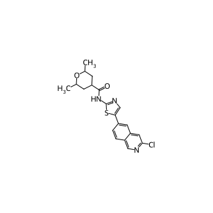 CC1CC(C(=O)Nc2ncc(-c3ccc4cnc(Cl)cc4c3)s2)CC(C)O1